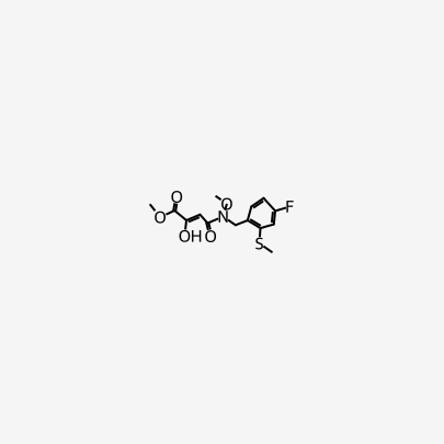 COC(=O)C(O)=CC(=O)N(Cc1ccc(F)cc1SC)OC